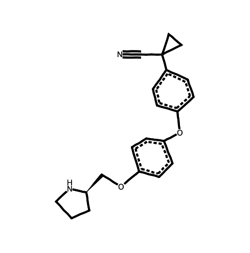 N#CC1(c2ccc(Oc3ccc(OC[C@H]4CCCN4)cc3)cc2)CC1